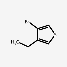 [CH2]Cc1cscc1Br